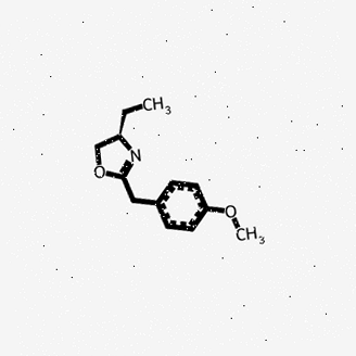 CC[C@@H]1COC(Cc2ccc(OC)cc2)=N1